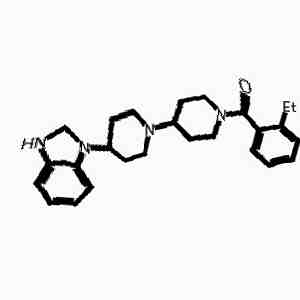 CCc1ccccc1C(=O)N1CCC(N2CCC(N3CNc4ccccc43)CC2)CC1